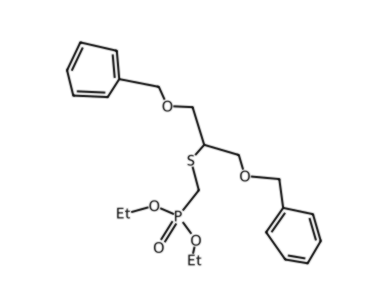 CCOP(=O)(CSC(COCc1ccccc1)COCc1ccccc1)OCC